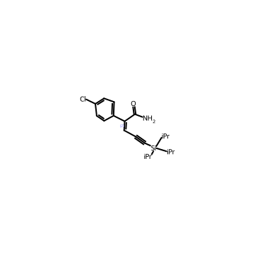 CC(C)[Si](C#C/C=C(\C(N)=O)c1ccc(Cl)cc1)(C(C)C)C(C)C